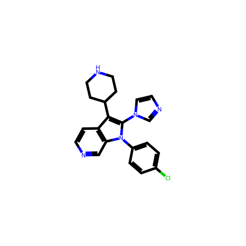 Clc1ccc(-n2c(-n3ccnc3)c(C3CCNCC3)c3ccncc32)cc1